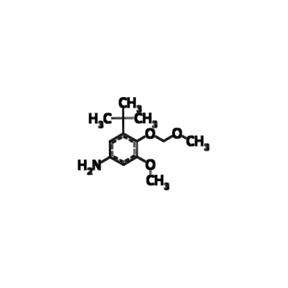 COCOc1c(OC)cc(N)cc1C(C)(C)C